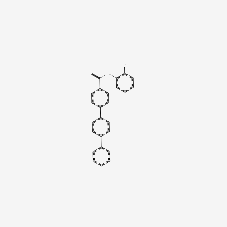 C=C(Sc1ccccc1N)c1ccc(-c2ccc(-c3ccccc3)cc2)cc1